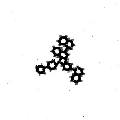 c1cncc(-c2ccc(-n3c4ccc(-c5nccc6ccccc56)cc4c4cc(-c5nccc6ccccc56)c5ccccc5c43)nc2)c1